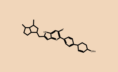 CSC1C=CC(c2ccc(-c3nc4cc(CC5CC(C)C6C(C)CCC56)[nH]c4cc3F)cc2)CC1